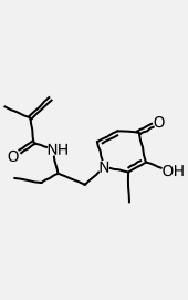 C=C(C)C(=O)NC(CC)Cn1ccc(=O)c(O)c1C